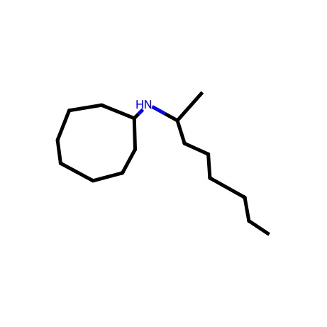 CCCCCCC(C)NC1CCCCCCC1